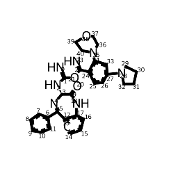 N=C(N[C@H]1N=C(c2ccccc2)c2ccccc2NC1=O)OC(=N)c1ccc(N2CCCC2)cc1N1CCOCC1